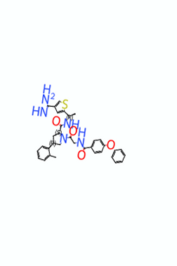 Cc1ccccc1[C@H]1C[C@@H](C(=O)N[C@H](C)c2cc(C(=N)N)cs2)N(C(=O)CNC(=O)c2ccc(Oc3ccccc3)cc2)C1